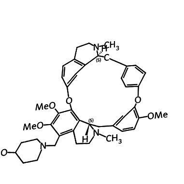 COc1ccc2cc1Oc1ccc(cc1)C[C@H]1c3cc(ccc3CCN1C)Oc1c(OC)c(OC)c(CN3CCC(O)CC3)c3c1[C@H](C2)N(C)CC3